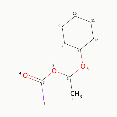 CC(OC(=O)I)OC1CCCCC1